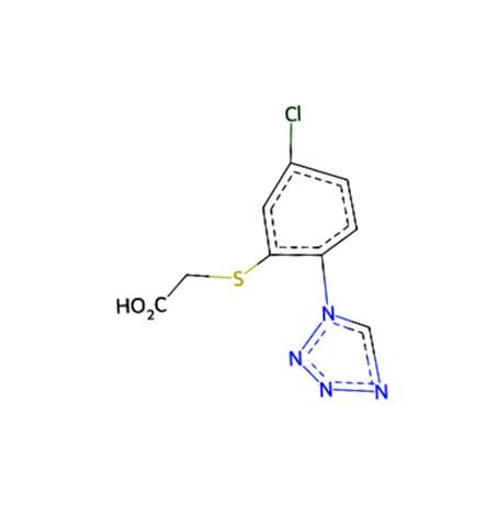 O=C(O)CSc1cc(Cl)ccc1-n1cnnn1